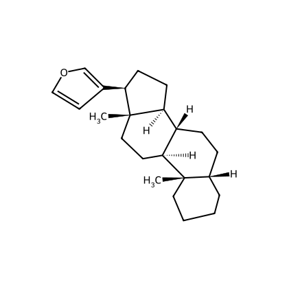 C[C@]12CCCC[C@H]1CC[C@@H]1[C@@H]2CC[C@]2(C)[C@@H](c3ccoc3)CC[C@@H]12